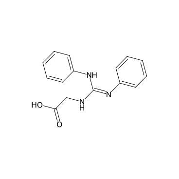 O=C(O)CNC(=Nc1ccccc1)Nc1ccccc1